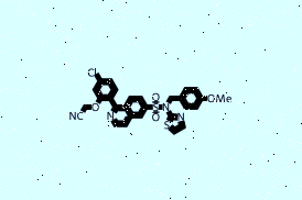 COc1ccc(CN(c2nccs2)S(=O)(=O)c2ccc3c(-c4ccc(Cl)cc4OCC#N)nccc3c2)cc1